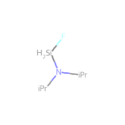 CC(C)N([SiH2]F)C(C)C